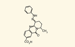 CC1CC/C(=N\Nc2ccccc2)c2nc3ccc(C(=O)O)cc3c(=O)n21